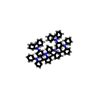 c1ccc(N2c3ccccc3B3c4cccc5c4N(c4cc(-n6c7ccccc7c7ccccc76)cc2c43)c2cccc3c2B5c2cccc4c2N3c2cc(-n3c5ccccc5c5ccccc53)cc3c2B4c2ccccc2N3c2ccccc2)cc1